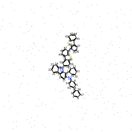 c1ccc(-c2ccc(-n3c4ccccc4c4c3ccc3c5ccccc5n(-c5ccc6sc7c(-c8cccc9c8sc8ccccc89)cccc7c6c5)c34)cc2)cc1